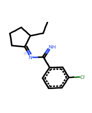 CCC1CCC/C1=N/C(=N)c1cccc(Cl)c1